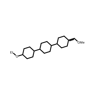 CCOC1CCC(C2CCC(C3CCC(=COC)CC3)CC2)CC1